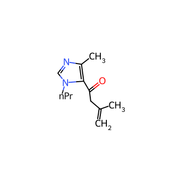 C=C(C)CC(=O)c1c(C)ncn1CCC